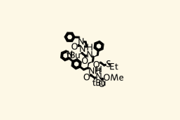 CCSCCO[C@@H](C[C@H](Cc1ccc(-c2ccccn2)cc1)NC(=O)[C@@H](NC(=O)OC)C(C)(C)C)[C@H](Cc1ccccc1)NC(=O)[C@@H](N1CCN(Cc2ccccc2)C1=O)C(C)(C)C